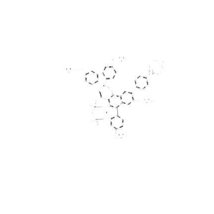 COc1ccc(C2(c3ccc(OC)cc3)C=Cc3c4c(c5cc(SC)c(-c6ccc(N7CCOCC7)cc6)cc5c3O2)-c2ccc(SC)cc2C42CC(C)(C)CC(C)(C)C2)cc1